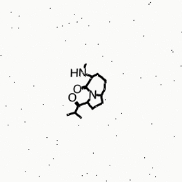 CNC1CCCC2CCC(C(=O)C(C)C)N2C1=O